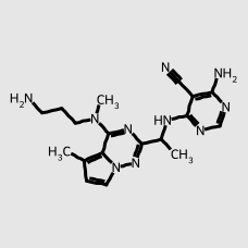 Cc1ccn2nc(C(C)Nc3ncnc(N)c3C#N)nc(N(C)CCCN)c12